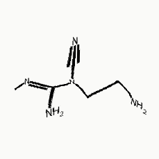 C/N=C(\N)N(C#N)CCN